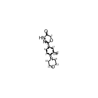 O=C1COC(c2ccc(N3CCOCC3)c(F)c2)=NN1